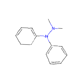 CN(C)N(C1=CC=CCC1)c1ccccc1